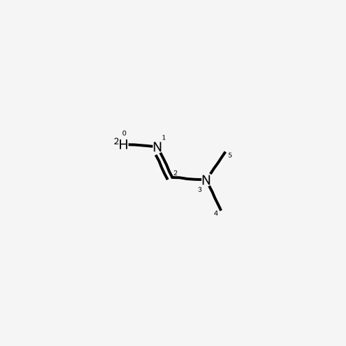 [2H]N=CN(C)C